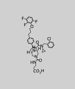 O=C(O)CCNC(=O)N1C[C@H]2CC(c3ccc(CCCOc4c(F)ccc(F)c4F)cc3)=C(C(=O)N(Cc3ccccc3Cl)C3CC3)[C@@H](C1)N2